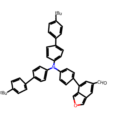 CC(C)(C)c1ccc(-c2ccc(N(c3ccc(-c4ccc(C(C)(C)C)cc4)cc3)c3ccc(-c4cc(C=O)cc5cocc45)cc3)cc2)cc1